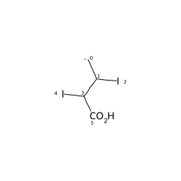 [CH2]C(I)C(I)C(=O)O